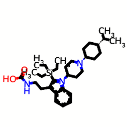 CC[Si](CC)(CC)c1c(CCNC(=O)O)c2ccccc2n1C1CCN([C@H]2CC[C@@H](C(C)C)CC2)CC1